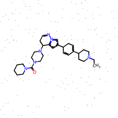 CCN1CCC(C2=CCC(c3cc4n(c3)N=CCC4N3CCN(C(=O)N4CCCCC4)CC3)C=C2)CC1